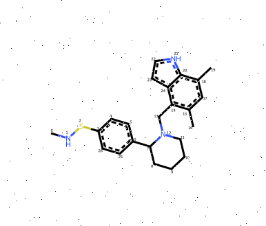 CNSc1ccc(C2CCCCN2Cc2c(C)cc(C)c3[nH]ccc23)cc1